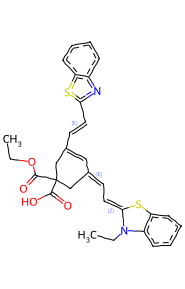 CCOC(=O)C1(C(=O)O)CC(/C=C/c2nc3ccccc3s2)=CC(=C/C=C2\Sc3ccccc3N2CC)/C1